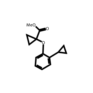 COC(=O)C1(Oc2ccccc2C2CC2)CC1